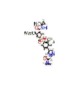 CO[C@@H]1C[C@H](S(=O)(=O)c2ccc(-c3cnn(CC(=O)N(C)C)c3)cc2C(F)(F)F)C[C@H]1C(=O)NC1(C#N)CC1